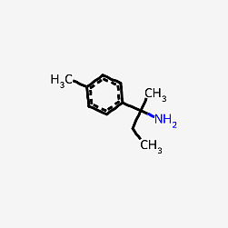 CCC(C)(N)c1ccc(C)cc1